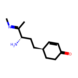 C/N=C(\C)[C@@H](N)CC[C@H]1C=CC(=O)CC1